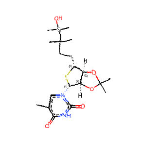 Cc1cn([C@@H]2S[C@H](CCC(C)(C)[Si](C)(C)O)[C@H]3OC(C)(C)O[C@H]32)c(=O)[nH]c1=O